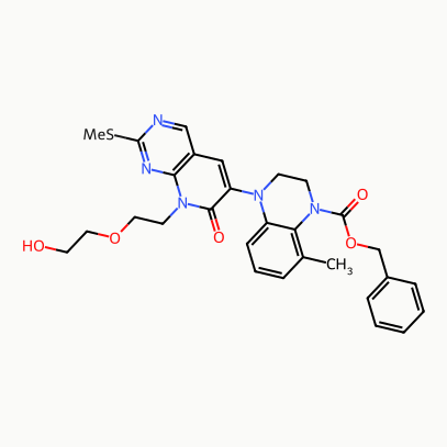 CSc1ncc2cc(N3CCN(C(=O)OCc4ccccc4)c4c(C)cccc43)c(=O)n(CCOCCO)c2n1